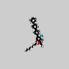 CCCCCCCCOC1(CCC)C=CC(c2ccc(-c3ccc(-c4ccccc4)cc3)cc2)=C(F)C1F